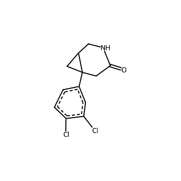 O=C1CC2(c3ccc(Cl)c(Cl)c3)CC2CN1